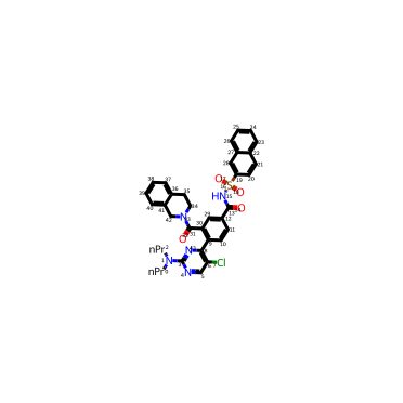 CCCN(CCC)c1ncc(Cl)c(-c2ccc(C(=O)NS(=O)(=O)c3ccc4ccccc4c3)cc2C(=O)N2CCc3ccccc3C2)n1